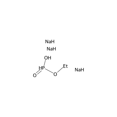 CCO[PH](=O)O.[NaH].[NaH].[NaH]